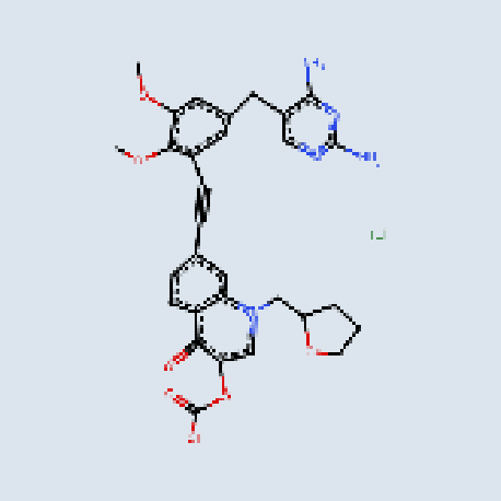 COc1cc(Cc2cnc(N)nc2N)cc(C#Cc2ccc3c(=O)c(OC(=O)O)cn(CC4CCCO4)c3c2)c1OC.Cl